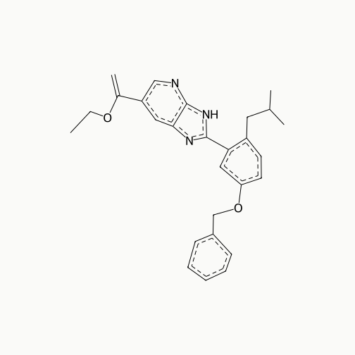 C=C(OCC)c1cnc2[nH]c(-c3cc(OCc4ccccc4)ccc3CC(C)C)nc2c1